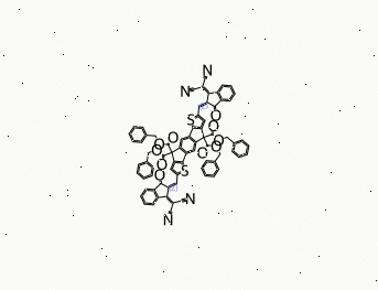 N#CC(C#N)=C1/C(=C/c2cc3c(s2)-c2cc4c(cc2C3(C(=O)OCc2ccccc2)C(=O)OCc2ccccc2)-c2sc(/C=C3\C(=O)c5ccccc5C3=C(C#N)C#N)cc2C4(C(=O)OCc2ccccc2)C(=O)OCc2ccccc2)C(=O)c2ccccc21